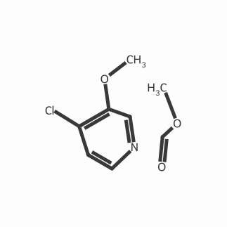 COC=O.COc1cnccc1Cl